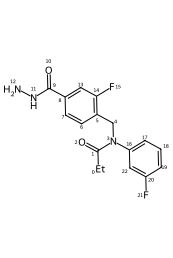 CCC(=O)N(Cc1ccc(C(=O)NN)cc1F)c1cccc(F)c1